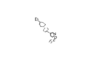 CC[C@H]1CC[C@H](C2CCC(c3ccc(OC(F)(F)F)nc3)CC2)CC1